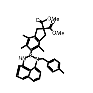 COC(=O)C1(C(=O)OC)Cc2c(C)c(C)c(B3Nc4cccc5cccc(c45)N3Cc3ccc(C)cc3)c(C)c2C1